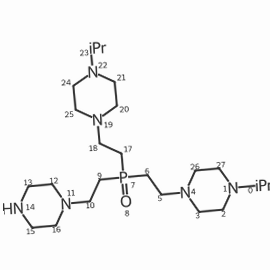 CC(C)N1CCN(CCP(=O)(CCN2CCNCC2)CCN2CCN(C(C)C)CC2)CC1